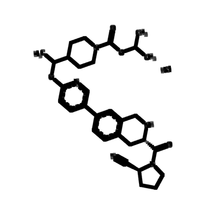 CC(C)OC(=O)N1CCC(C(C)Oc2ccc(-c3ccc4c(c3)CN[C@H](C(=O)N3CCC[C@H]3C#N)C4)cn2)CC1.Cl